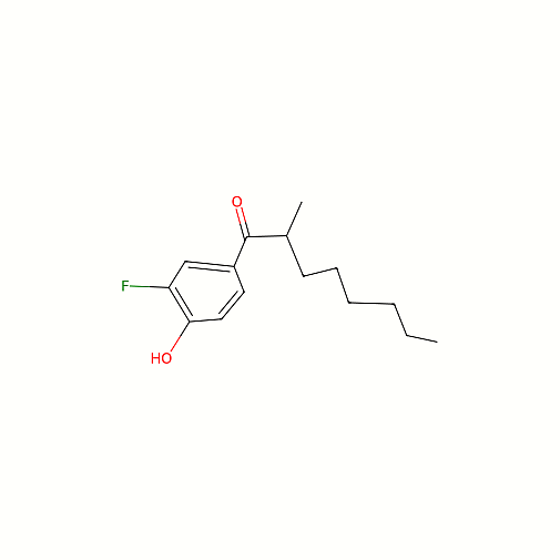 CCCCCCC(C)C(=O)c1ccc(O)c(F)c1